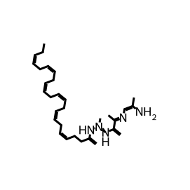 C=C(CC/C=C\C/C=C\C/C=C\C/C=C\C/C=C\C/C=C\CC)NN(C)NC(=C)/C(C)=N/C=C(/C)N